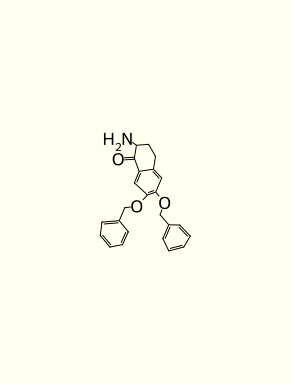 NC1CCc2cc(OCc3ccccc3)c(OCc3ccccc3)cc2C1=O